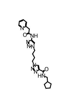 O=C(Cc1ccccn1)Nc1cn(CCCCn2cc(C(=O)NCC3CCCC3)nn2)nn1